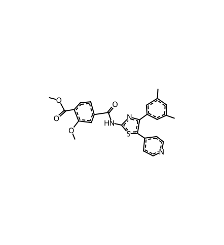 COC(=O)c1ccc(C(=O)Nc2nc(-c3cc(C)cc(C)c3)c(-c3ccncc3)s2)cc1OC